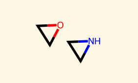 C1CN1.C1CO1